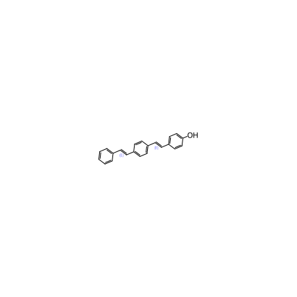 Oc1ccc(/C=C/c2ccc(/C=C/c3ccccc3)cc2)cc1